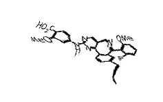 CC=Cc1ccc2c(c1)C(c1c(F)cccc1OC)=NCc1cnc(Nc3ccc(C(=O)O)c(OC)c3)nc1-2